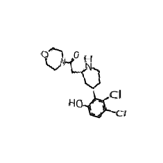 O=C(C[C@@H]1C[C@H](c2c(O)ccc(Cl)c2Cl)CCN1)N1CCOCC1